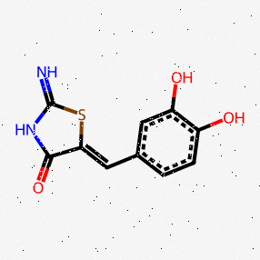 N=C1NC(=O)C(=Cc2ccc(O)c(O)c2)S1